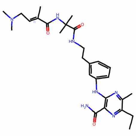 CCc1nc(C(N)=O)c(Nc2cccc(CCNC(=O)C(C)(C)NC(=O)/C(C)=C/CN(C)C)c2)nc1C